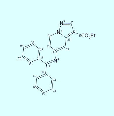 CCOC(=O)c1cnn2ccc(N=C(c3ccccc3)c3ccccc3)cc12